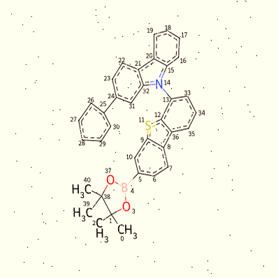 CC1(C)OB(c2ccc3c(c2)sc2c(-n4c5ccccc5c5ccc(-c6ccccc6)cc54)cccc23)OC1(C)C